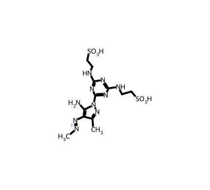 C/N=N/c1c(C)nn(-c2nc(NCCS(=O)(=O)O)nc(NCCS(=O)(=O)O)n2)c1N